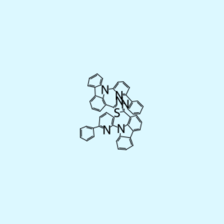 c1ccc(-c2cccc(-n3c4ccccc4c4cccc(-c5nnc(-c6cccc7c8ccccc8n(-c8cccc(-c9ccccc9)n8)c67)s5)c43)n2)cc1